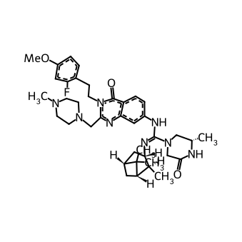 COc1ccc(CCn2c(CN3CCN(C)CC3)nc3cc(NC(=N[C@H]4C[C@H]5C[C@@H]([C@@H]4C)C5(C)C)N4CC(=O)N[C@@H](C)C4)ccc3c2=O)c(F)c1